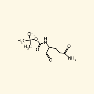 CC(C)(C)OC(=O)NC(C=O)CCC(N)=O